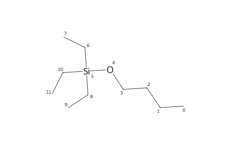 CCCCO[Si](CC)(CC)CC